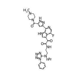 CCCN(CCNC(=O)C(=O)c1c[nH]c2c(-c3cc(C(=O)N4CCN(C)CC4)[nH]n3)ncc(F)c12)c1nnnn1-c1ccccc1